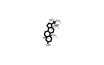 CC(O)(O)C1CCC2C3CC[C@H]4CC(O)CCC4(C)C3CC[C@@]21C